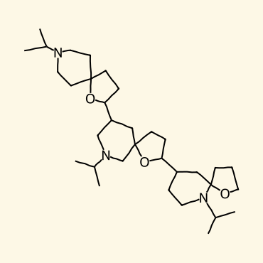 CC(C)N1CCC2(CCC(C3CN(C(C)C)CC4(CCC(C5CCN(C(C)C)C6(CCCO6)C5)O4)C3)O2)CC1